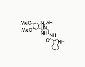 COc1cc2c(cc1OC)C(=N)N(CCNC(=O)c1c[nH]c3ccccc13)C(S)N2